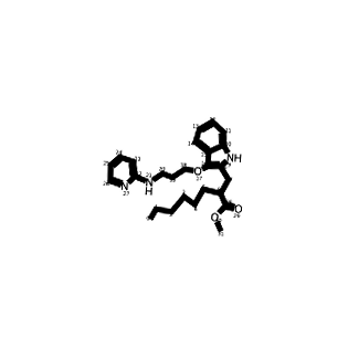 CCCCCCC(Cc1[nH]c2ccccc2c1OCCCNc1ccccn1)C(=O)OC